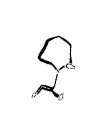 O=C(Cl)N1CCCCO1